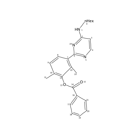 CCCCCCNc1ccnc(-c2ccc(C)c(OC(=O)c3ccccc3)c2C)n1